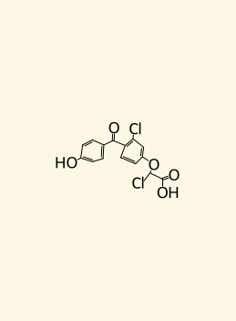 O=C(c1ccc(O)cc1)c1ccc(OC(Cl)C(=O)O)cc1Cl